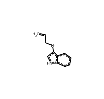 C=CC[N]c1c[nH]c2ccccc12